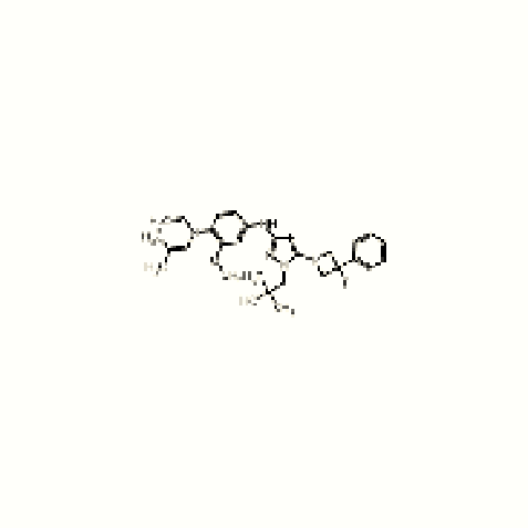 C=CN(C=C(C)C)c1ccc(Nc2nc(N3CC(F)(c4ccccc4)C3)n(CC(C)(C)O)n2)cc1OC